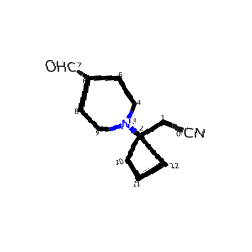 N#CCC1(N2CCC(C=O)CC2)CCC1